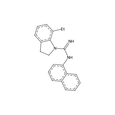 CCc1cccc2c1N(C(=N)Nc1cccc3ccccc13)CC2